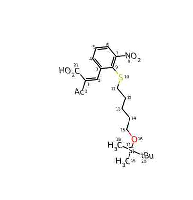 CC(=O)C(=Cc1cccc([N+](=O)[O-])c1SCCCCCO[Si](C)(C)C(C)(C)C)C(=O)O